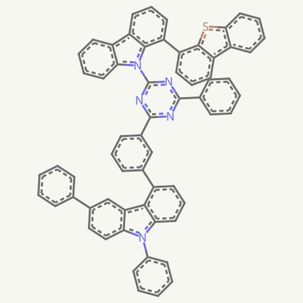 c1ccc(-c2ccc3c(c2)c2c(-c4cccc(-c5nc(-c6ccccc6)nc(-n6c7ccccc7c7cccc(-c8cccc9c8sc8ccccc89)c76)n5)c4)cccc2n3-c2ccccc2)cc1